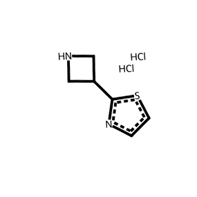 Cl.Cl.c1csc(C2CNC2)n1